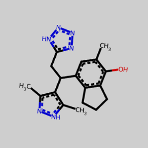 Cc1cc(C(Cc2nnn[nH]2)c2c(C)n[nH]c2C)c2c(c1O)CCC2